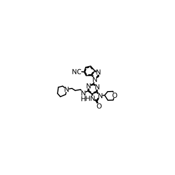 N#Cc1ccc2ncn(-c3nc(NCCCN4CCCCC4)c4[nH]c(=O)n(C5CCOCC5)c4n3)c2c1